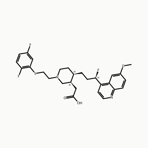 COc1ccc2nccc([C@H](F)CC[C@@H]3CCN(CCSc4cc(F)ccc4F)C[C@@H]3CC(=O)O)c2c1